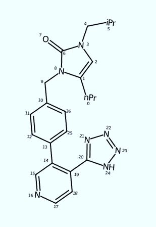 CCCc1cn(CC(C)C)c(=O)n1Cc1ccc(-c2cnccc2-c2nnn[nH]2)cc1